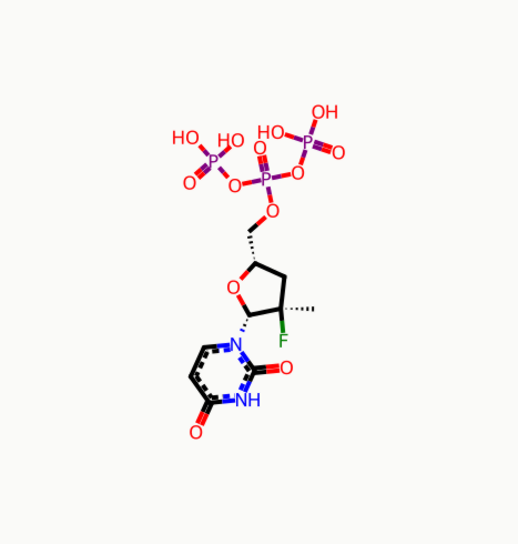 C[C@@]1(F)C[C@@H](COP(=O)(OP(=O)(O)O)OP(=O)(O)O)O[C@H]1n1ccc(=O)[nH]c1=O